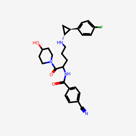 N#Cc1ccc(C(=O)NC(CCCN[C@@H]2C[C@H]2c2ccc(F)cc2)C(=O)N2CCC(O)CC2)cc1